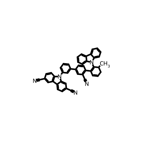 CC1CC=CC(c2ccc(-c3cccc(-n4c5ccc(C#N)cc5c5ccc(C#N)cc54)c3)cc2C#N)=C1n1c2ccccc2c2ccccc21